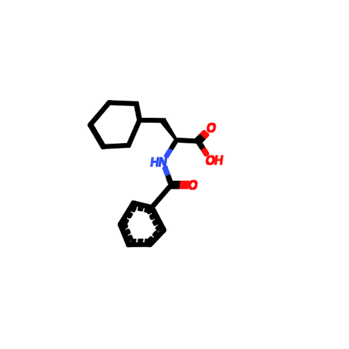 O=C(N[C@@H](CC1CCCCC1)C(=O)O)c1ccccc1